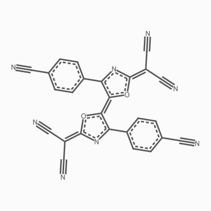 N#CC(C#N)=c1nc(-c2ccc(C#N)cc2)/c(=c2\oc(=C(C#N)C#N)nc2-c2ccc(C#N)cc2)o1